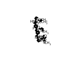 COC(=O)N[C@H](C(=O)N1CCC[C@H]1c1ncc(-c2ccc3c(c2)cc2n3C(c3ccc(C)s3)Oc3cc(-c4c[nH]c([C@@H]5CCCN5C(=O)OC(C)(C)C)n4)cc(F)c3-2)[nH]1)C1CCOCC1